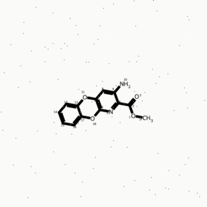 COC(=O)c1nc2c(cc1N)Oc1ccccc1O2